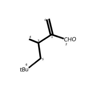 C=C(C=O)C(C)CC(C)(C)C